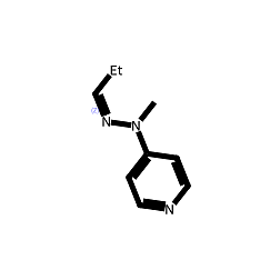 CC/C=N\N(C)c1ccncc1